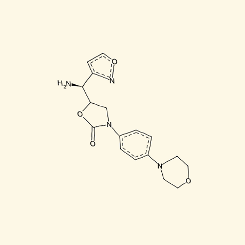 N[C@@H](c1ccon1)C1CN(c2ccc(N3CCOCC3)cc2)C(=O)O1